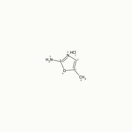 Cc1cnc(N)o1.Cl